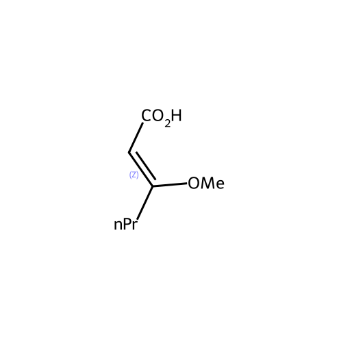 CCC/C(=C/C(=O)O)OC